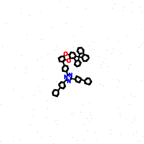 c1ccc(-c2ccc(-c3nc(-c4ccc(-c5ccccc5)cc4)nc(-c4ccc(-c5cccc6c5Oc5c(ccc7c5-c5ccccc5C7(c5ccccc5)c5ccccc5)O6)cc4)n3)cc2)cc1